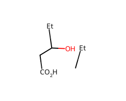 CCC.CCC(O)CC(=O)O